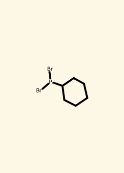 BrP(Br)C1CCCCC1